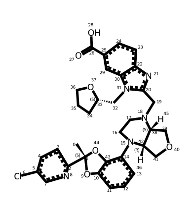 C[C@]1(c2ccc(Cl)cn2)Oc2cccc(N3CCN(Cc4nc5ccc(C(=O)O)cc5n4C[C@@H]4CCCO4)[C@@H]4COC[C@@H]43)c2O1